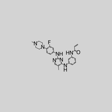 C=CC(=O)Nc1cccc(Nc2nc(Nc3ccc(N4CCN(C)CC4)c(F)c3)ncc2C)c1